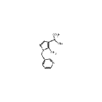 CC(C)(C)N(C(=O)O)c1cnn(Cc2cccnc2)c1N